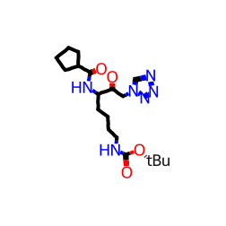 CC(C)(C)OC(=O)NCCCCC(NC(=O)C1CCCC1)C(=O)Cn1cnnn1